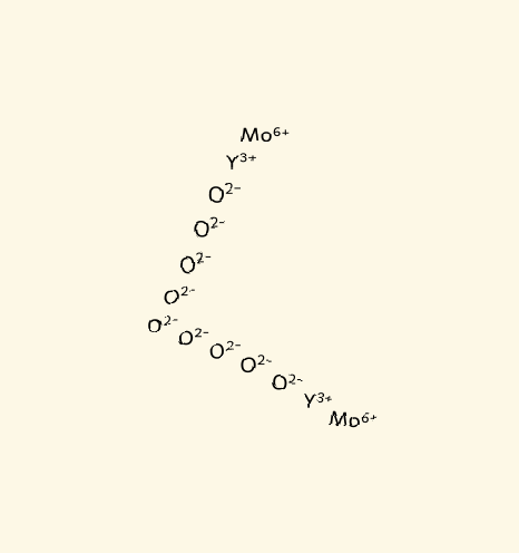 [Mo+6].[Mo+6].[O-2].[O-2].[O-2].[O-2].[O-2].[O-2].[O-2].[O-2].[O-2].[Y+3].[Y+3]